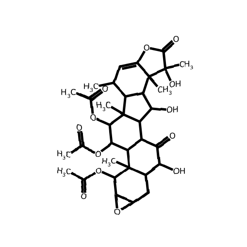 CC(=O)OC1C(OC(C)=O)C2(C)C(C(O)C3C2C(C)C=C2OC(=O)C(C)(O)C23C)C2C(=O)C(O)C3CC4OC4C(OC(C)=O)C3(C)C12